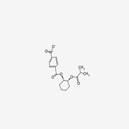 CC(C)C(=O)O[C@H]1CCCC[C@H]1OC(=O)c1ccc([N+](=O)[O-])cc1